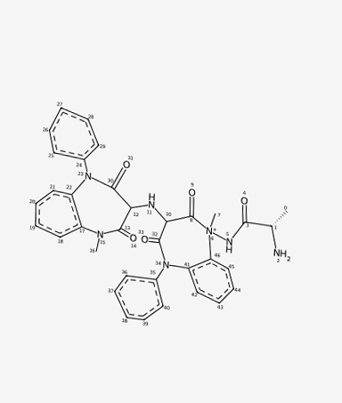 C[C@H](N)C(=O)N[N+]1(C)C(=O)C(NC2C(=O)N(C)c3ccccc3N(c3ccccc3)C2=O)C(=O)N(c2ccccc2)c2ccccc21